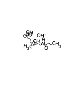 CC=CC(=O)NCCC[N+](C)(C)CCCS(=O)(=O)O.[OH-]